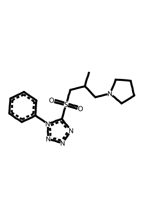 CC(CN1CCCC1)CS(=O)(=O)c1nnnn1-c1ccccc1